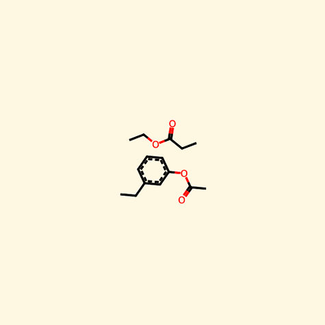 CCOC(=O)CC.CCc1cccc(OC(C)=O)c1